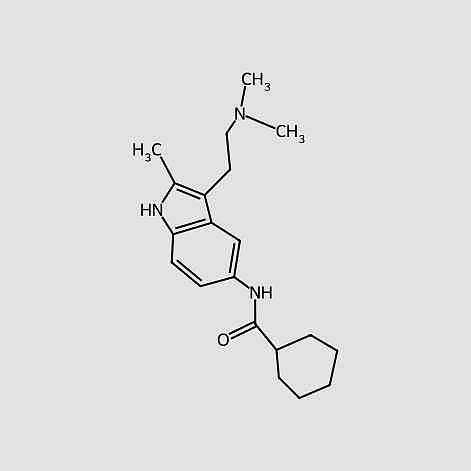 Cc1[nH]c2ccc(NC(=O)C3CCCCC3)cc2c1CCN(C)C